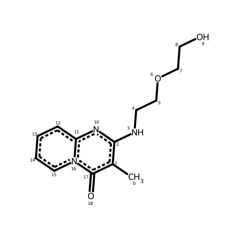 Cc1c(NCCOCCO)nc2ccccn2c1=O